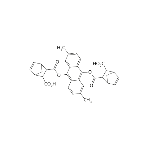 Cc1ccc2c(OC(=O)C3C4C=CC(C4)C3C(=O)O)c3cc(C)ccc3c(OC(=O)C3C4C=CC(C4)C3C(=O)O)c2c1